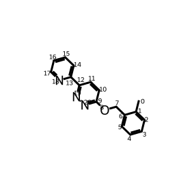 Cc1ccccc1COc1ccc(-c2ccccn2)nn1